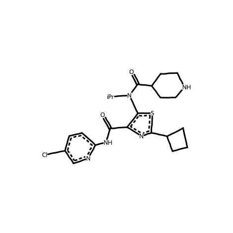 CC(C)N(C(=O)C1CCNCC1)c1sc(C2CCC2)nc1C(=O)Nc1ccc(Cl)cn1